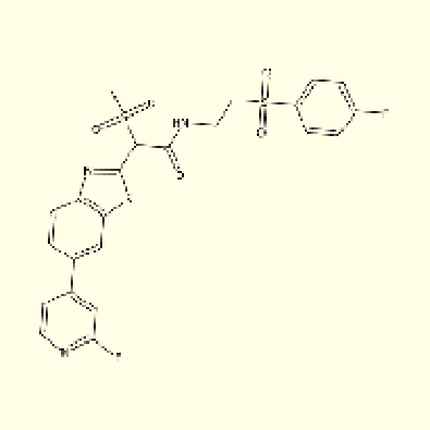 CS(=O)(=O)C(C(=O)NCCS(=O)(=O)c1ccc(F)cc1)c1nc2ccc(-c3ccnc(F)c3)cc2s1